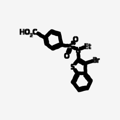 CCN(c1sc2ccccc2c1Br)S(=O)(=O)c1ccc(C(=O)O)cc1